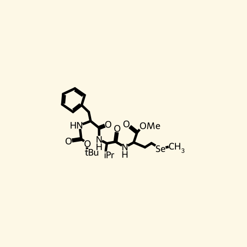 COC(=O)C(CC[Se]C)NC(=O)C(NC(=O)C(Cc1ccccc1)NC(=O)OC(C)(C)C)C(C)C